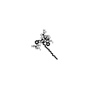 CCCCCCCCCCCCCCCC(=O)N[C@@H](Cc1cccc(NC(=N)N)c1)C(=O)NC(CCC(N)=O)(C(N)=O)[C@H](Cc1ccccc1)C(N)=O